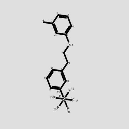 Cc1cccc(SCCc2cccc(S(F)(F)(F)(F)F)c2)c1